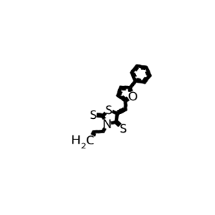 C=CCN1C(=S)S/C(=C\c2ccc(-c3ccccc3)o2)C1=S